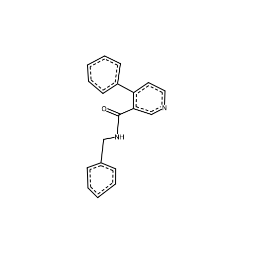 O=C(NCc1ccccc1)c1cnccc1-c1ccccc1